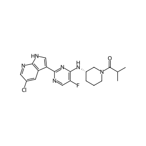 CC(C)C(=O)N1CCC[C@H](Nc2nc(-c3c[nH]c4ncc(Cl)cc34)ncc2F)C1